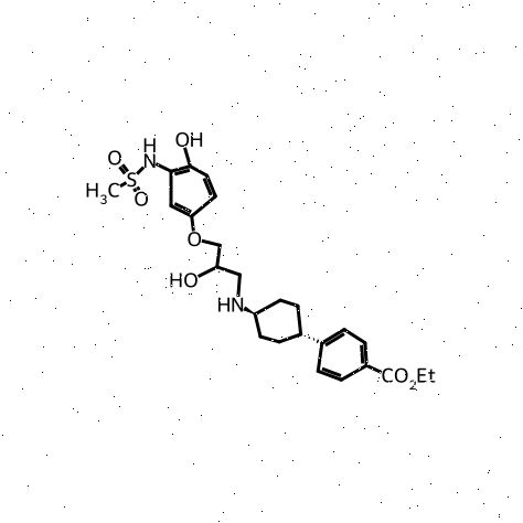 CCOC(=O)c1ccc([C@H]2CC[C@H](NCC(O)COc3ccc(O)c(NS(C)(=O)=O)c3)CC2)cc1